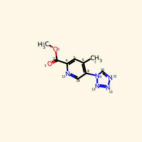 COC(=O)c1cc(C)c(-n2cnnn2)cn1